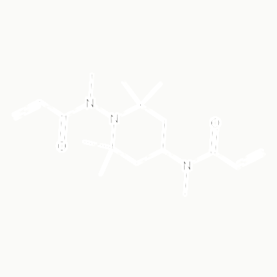 C=CC(=O)N(C)C1CC(C)(C)N(N(C)C(=O)C=C)C(C)(C)C1